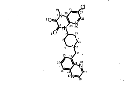 Cn1c(=O)c(=O)n(C2CCN(Cc3cccc4nccnc34)CC2)c2ncc(Cl)cc21